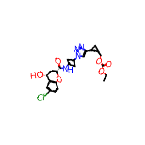 CCOC(=O)OCC1CC1c1cn(C23CC(NC(=O)[C@H]4C[C@@H](O)c5cc(Cl)ccc5O4)(C2)C3)nn1